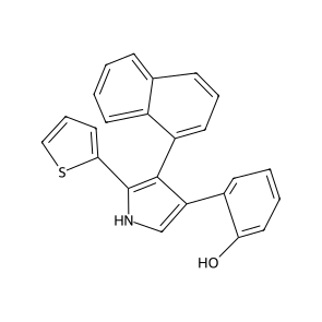 Oc1ccccc1-c1c[nH]c(-c2cccs2)c1-c1cccc2ccccc12